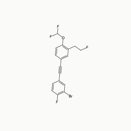 FCCc1cc(C#Cc2ccc(F)c(Br)c2)ccc1OC(F)F